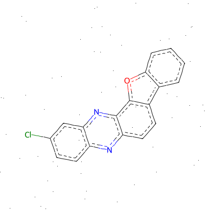 Clc1ccc2nc3ccc4c5ccccc5oc4c3nc2c1